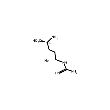 N=C(N)NCCC[C@H](N)C(=O)O.[He]